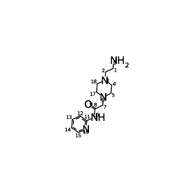 NCCN1CCN(CC(=O)Nc2ccccn2)CC1